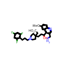 COc1ccc2ncc(CN)c(C(O)CCC3(CC(=O)O)CCN(CCCc4c(F)cc(F)cc4F)CC3)c2c1